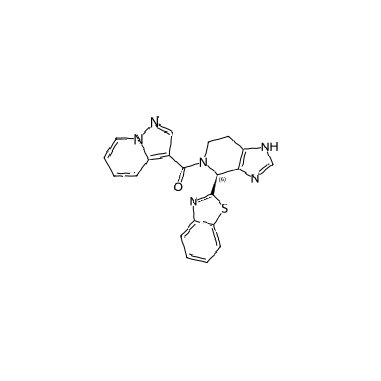 O=C(c1cnn2ccccc12)N1CCc2[nH]cnc2[C@H]1c1nc2ccccc2s1